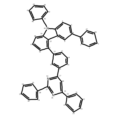 c1ccc(-c2ccc3c(c2)c2c(-c4cccc(-c5cc(-c6ccccc6)nc(-c6ccccc6)n5)c4)cccc2n3-c2ccccc2)cc1